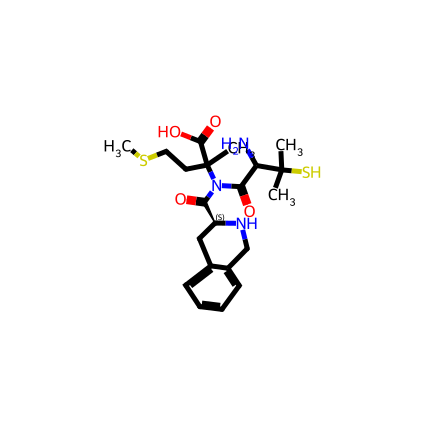 CSCCC(C)(C(=O)O)N(C(=O)C(N)C(C)(C)S)C(=O)[C@@H]1Cc2ccccc2CN1